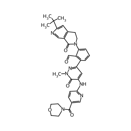 Cn1nc(-c2cccc(N3CCc4cc(C(C)(C)C)ncc4C3=O)c2C=O)cc(Nc2ccc(C(=O)N3CCOCC3)cn2)c1=O